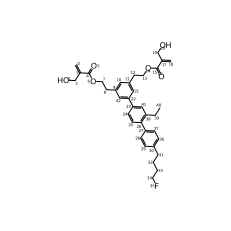 C=C(CO)C(=O)OCCc1cc(CCOC(=O)C(=C)CO)cc(-c2ccc(-c3ccc(CCCCF)cc3)c(CC)c2)c1